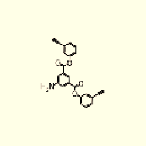 C#Cc1cccc(OC(=O)c2cc(N)cc(C(=O)Oc3cccc(C#C)c3)c2)c1